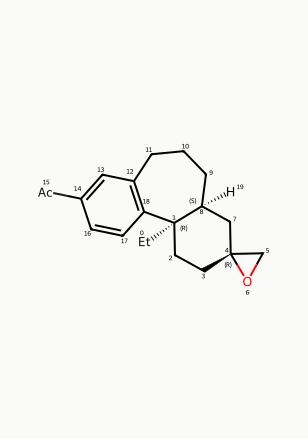 CC[C@@]12CC[C@]3(CO3)C[C@@H]1CCCc1cc(C(C)=O)ccc12